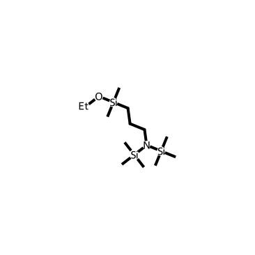 CCO[Si](C)(C)CCCN([Si](C)(C)C)[Si](C)(C)C